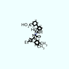 CCN1CC(C2=N/C(=N/Nc3cccc(C4CCCC(C(=O)O)C4)c3O)C(=O)N2c2ccc(C)c(C)c2)C1